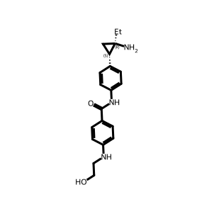 CC[C@@]1(N)C[C@H]1c1ccc(NC(=O)c2ccc(NCCO)cc2)cc1